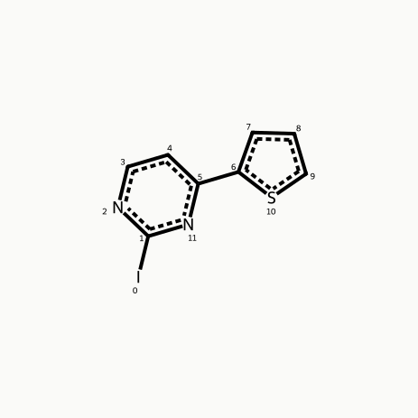 Ic1nccc(-c2cccs2)n1